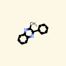 Cc1nc2ccccc2nc1-c1[c]cccc1